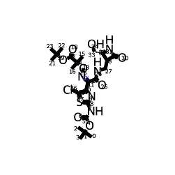 CC(C)(C)OC(=O)Nc1nc(/C(=N/OC(C)(C)C(=O)OC(C)(C)C)C(=O)NCC2C(=O)N[C@H]2CO)c(Cl)s1